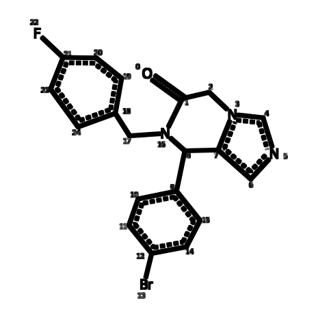 O=C1Cn2cncc2C(c2ccc(Br)cc2)N1Cc1ccc(F)cc1